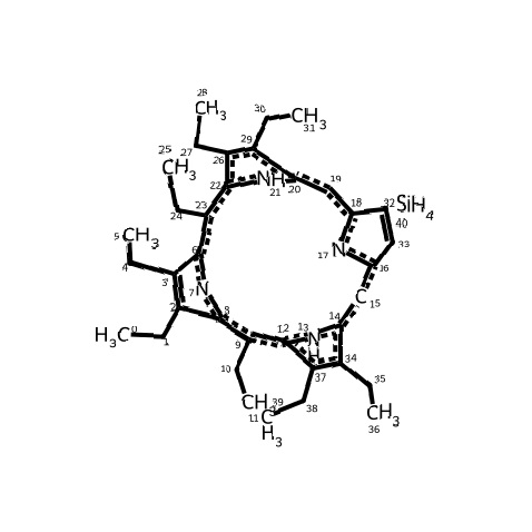 CCC1=C(CC)c2nc1c(CC)c1[nH]c(cc3nc(cc4[nH]c(c2CC)c(CC)c4CC)C=C3)c(CC)c1CC.[SiH4]